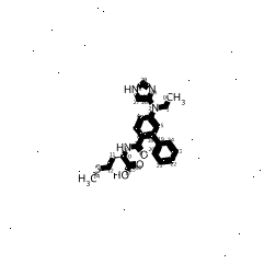 CCN(c1ccc(C(=O)N[C@@H](CCSC)C(=O)O)c(-c2ccccc2)c1)c1c[nH]cn1